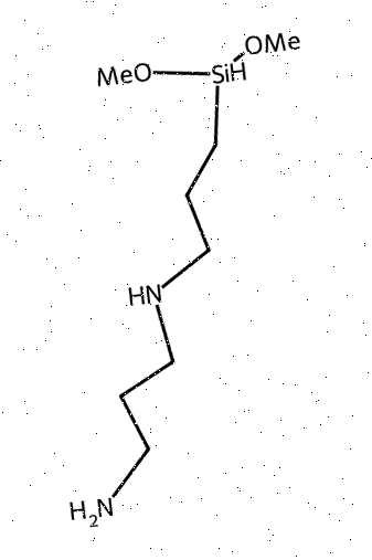 CO[SiH](CCCNCCCN)OC